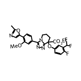 CCOC(=O)C1(Oc2ccc(F)c(C(F)F)c2)CCCn2c(-c3ccc(-c4cnc(C)o4)c(OC)c3)nnc21